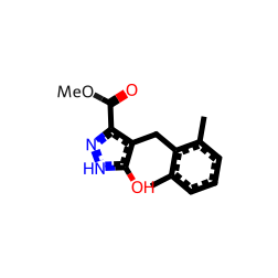 COC(=O)c1n[nH]c(O)c1Cc1c(C)cccc1C